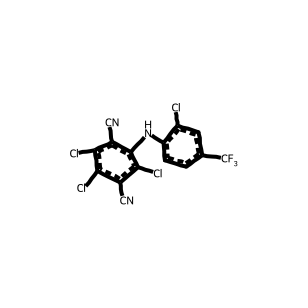 N#Cc1c(Cl)c(Cl)c(C#N)c(Nc2ccc(C(F)(F)F)cc2Cl)c1Cl